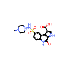 CN1CCN(NS(=O)(=O)c2ccc3[nH]c(=O)c4[nH]cc(C(=O)O)c4c3c2)CC1